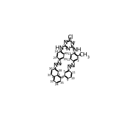 Cc1cc(N=Nc2ccccc2)ccc1Nc1nc(Cl)nc(Nc2ccc(N=Nc3ccc4ccccc4c3)cc2)n1